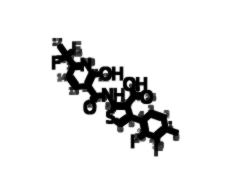 Cc1ccc(-c2csc(NC(=O)c3ccc(C(C)(F)F)nc3O)c2C(=O)O)c(F)c1F